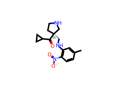 Cc1ccc([N+](=O)[O-])c(NC[C@]2(C(=O)C3CC3)CCNC2)c1